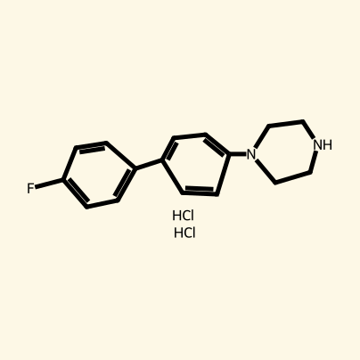 Cl.Cl.Fc1ccc(-c2ccc(N3CCNCC3)cc2)cc1